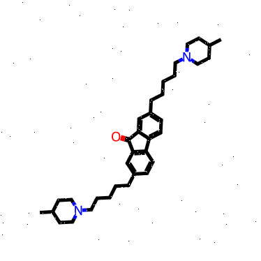 CC1CCN(CCCCCc2ccc3c(c2)C(=O)c2cc(CCCCCN4CCC(C)CC4)ccc2-3)CC1